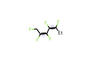 CC/C(F)=C(F)\C(F)=C(\F)CF